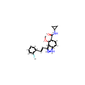 COc1c(C(=O)NC2CC2)ccc2[nH]nc(C=Cc3ccccc3F)c12